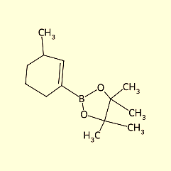 CC1C=C(B2OC(C)(C)C(C)(C)O2)CCC1